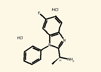 C[C@H](N)c1nc2ccc(F)cc2n1-c1ccccc1.Cl.Cl